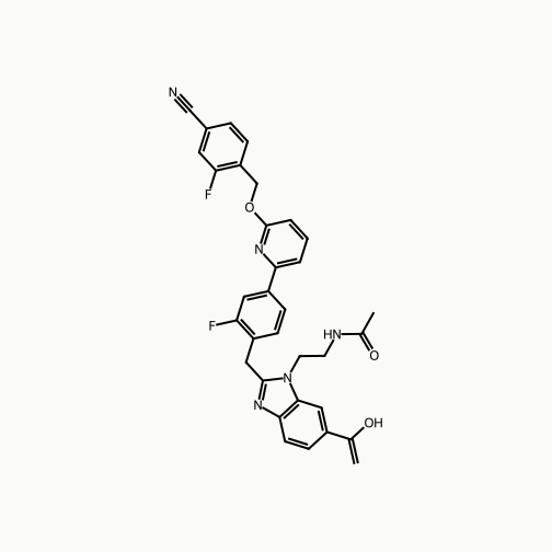 C=C(O)c1ccc2nc(Cc3ccc(-c4cccc(OCc5ccc(C#N)cc5F)n4)cc3F)n(CCNC(C)=O)c2c1